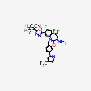 CC(C)(C#N)c1nnc(-c2cc3c(cc2F)C(F)(F)CC(N)C(=O)N3Cc2ccc(-c3cc(C(F)(F)F)ccn3)cc2)o1